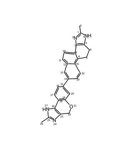 Cc1nc2c([nH]1)CCc1c-2ccc2cc(-c3ccc4c(c3)OCc3nc(C)[nH]c3-4)ccc12